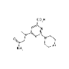 CN(CC(N)=O)c1cc(C(=O)O)nc(N2CCOCC2)n1